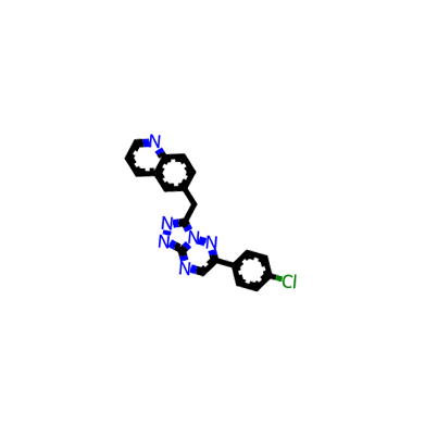 Clc1ccc(-c2cnc3nnc(Cc4ccc5ncccc5c4)n3n2)cc1